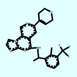 Cc1c(C(C)Nc2nc3nccn3c3cnc(C4=CCOCC4)cc23)cccc1C(F)(F)F